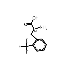 N[C@@H](Cc1ccccc1C(F)(F)F)C(=O)O